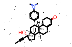 CC#C[C@]1(O)CC[C@H]2[C@@H]3CCC4=CC(=O)CC[C@]4(C)[C@H]3[C@@H](c3ccc(N(C)C)cc3)C[C@@]21C